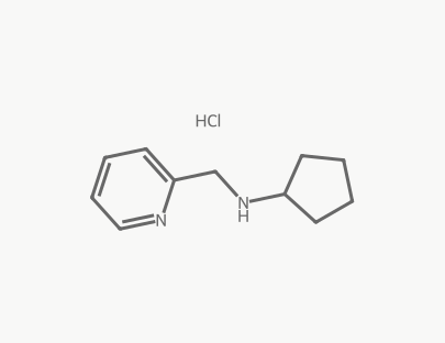 Cl.c1ccc(CNC2CCCC2)nc1